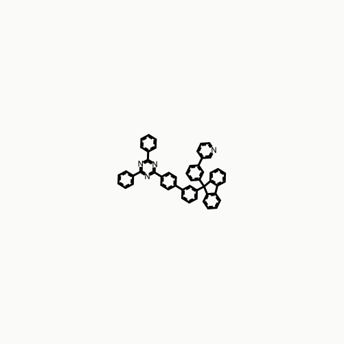 c1ccc(-c2nc(-c3ccccc3)nc(-c3ccc(-c4cccc(C5(c6cccc(-c7cccnc7)c6)c6ccccc6-c6ccccc65)c4)cc3)n2)cc1